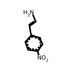 N/C=C/c1ccc([N+](=O)[O-])cc1